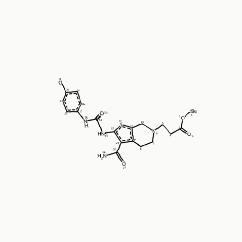 CC(C)(C)OC(=O)CCN1CCc2c(sc(NC(=O)Nc3ccc(Cl)cc3)c2C(N)=O)C1